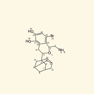 NCC1OC(C23CC4CC(CC(C4)C2)C3)Cc2c(O)c(O)cc(Br)c21